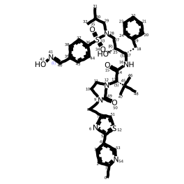 Cc1ccc(-c2nc(CN3CCN([C@H](C(=O)N[C@@H](Cc4ccccc4)[C@H](O)CN(CC(C)C)S(=O)(=O)c4ccc(/C=N/O)cc4)C(C)(C)C)C3=O)cs2)cn1